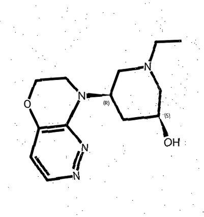 CCN1C[C@@H](O)C[C@@H](N2CCOc3ccnnc32)C1